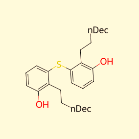 CCCCCCCCCCCCc1c(O)cccc1Sc1cccc(O)c1CCCCCCCCCCCC